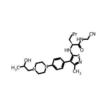 Cc1nsc(N[C@@H](CC(C)C)C(=O)NCC#N)c1-c1ccc(N2CCN(CC(C)O)CC2)cc1